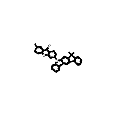 Cc1ccc2oc3cc(-n4c5ccccc5c5cc6c(cc54)C(C)(C)c4ccccc4-6)ccc3c(=O)c2c1